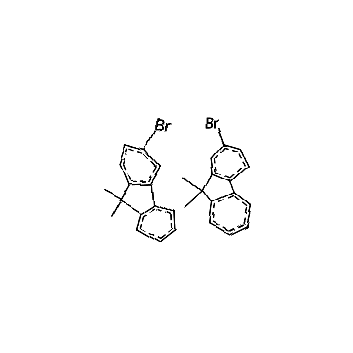 CC1(C)c2ccccc2-c2cc(Br)ccc21.CC1(C)c2ccccc2-c2ccc(Br)cc21